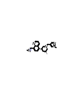 C/N=C/c1ccc([C@H]2C[C@@H](C)CN(Cc3cnn(C)c3)C2)c2cccnc12